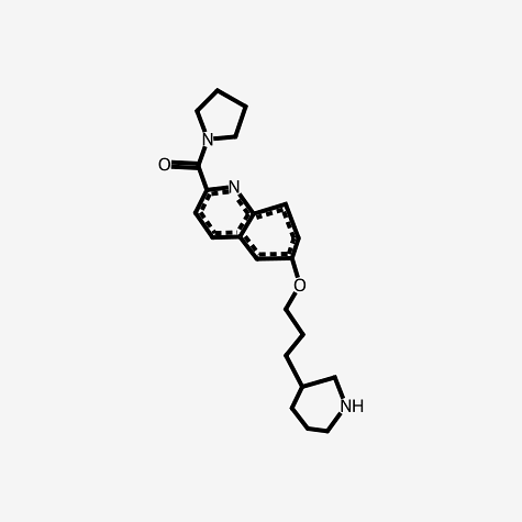 O=C(c1ccc2cc(OCCCC3CCCNC3)ccc2n1)N1CCCC1